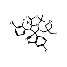 CCC1(C[C@@H]2N3[C@@H](C(=O)OC3(C)C)[C@H](c3cccc(Cl)c3F)[C@@]2(C#N)c2ccc(Cl)cc2F)COC1